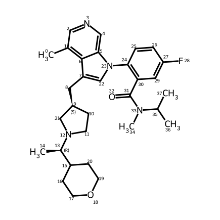 Cc1cncc2c1c(C[C@H]1CCN([C@H](C)C3CCOCC3)C1)cn2-c1ccc(F)cc1C(=O)N(C)C(C)C